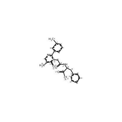 Cc1cccc(-c2ncc(N)c(=O)n2CC(=O)NC(Cc2ccccc2)C(=O)C(F)(F)F)c1